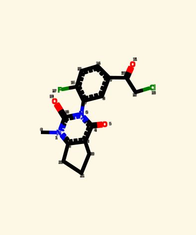 Cn1c2c(c(=O)n(-c3cc(C(=O)CCl)ccc3F)c1=O)CCC2